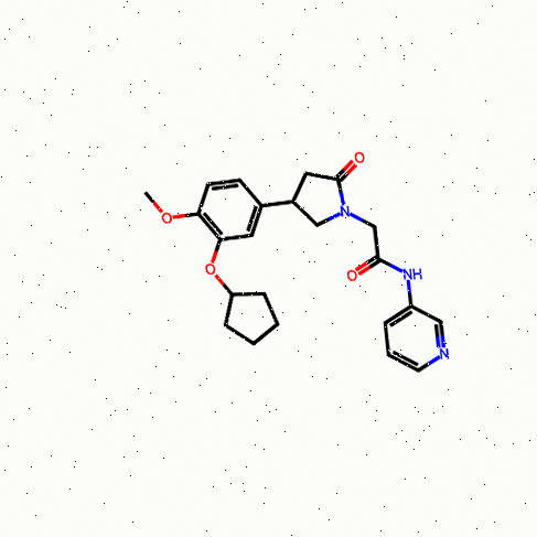 COc1ccc(C2CC(=O)N(CC(=O)Nc3cccnc3)C2)cc1OC1CCCC1